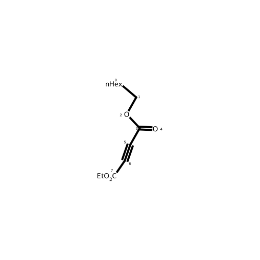 CCCCCCCOC(=O)C#CC(=O)OCC